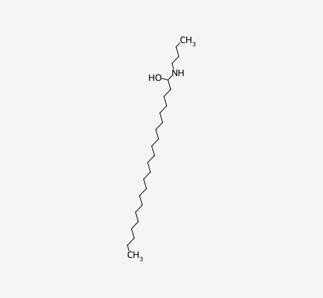 CCCCCCCCCCCCCCCCCCCCCC(O)NCCCC